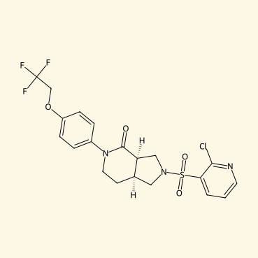 O=C1[C@H]2CN(S(=O)(=O)c3cccnc3Cl)C[C@H]2CCN1c1ccc(OCC(F)(F)F)cc1